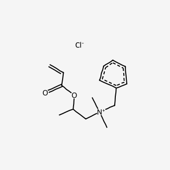 C=CC(=O)OC(C)C[N+](C)(C)Cc1ccccc1.[Cl-]